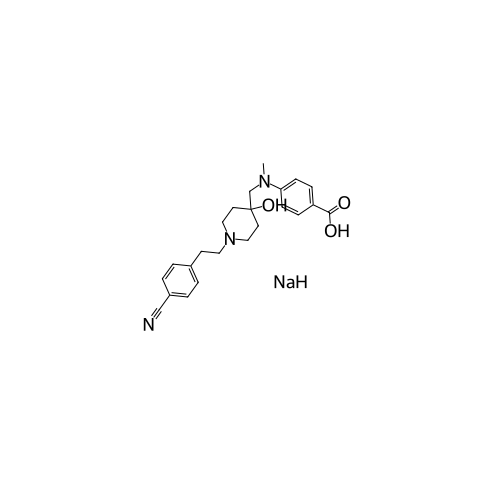 CN(CC1(O)CCN(CCc2ccc(C#N)cc2)CC1)c1ccc(C(=O)O)cc1.[NaH]